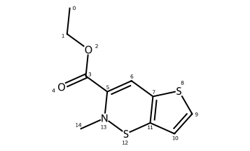 CCOC(=O)C1=Cc2sccc2SN1C